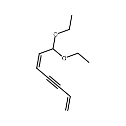 C=CC#C/C=C\C(OCC)OCC